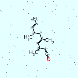 CCC=CC(C)CC(C)=CC(C)C=C=O